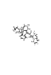 c1ccc2c(c1)N(c1ccc3oc4ccccc4c3c1)c1cccc3c4ccccc4n-2c13